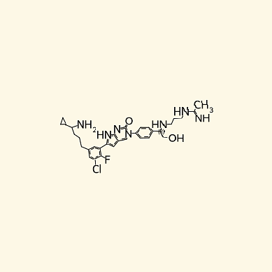 CC(=N)NCCCN[C@@H](CO)c1ccc(-n2cc3cc(-c4cc(CCCC(N)C5CC5)cc(Cl)c4F)[nH]c3nc2=O)cc1